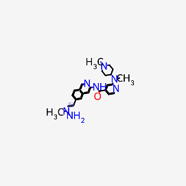 CN(N)/C=C/c1ccc2cnc(NC(=O)c3ccnc(N(C)C4CCN(C)CC4)c3)cc2c1